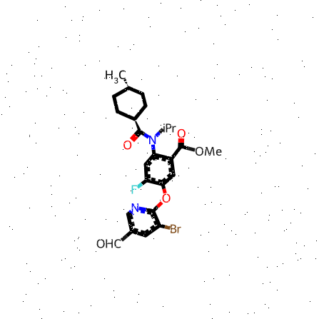 COC(=O)c1cc(Oc2ncc(C=O)cc2Br)c(F)cc1N(C(=O)[C@H]1CC[C@H](C)CC1)C(C)C